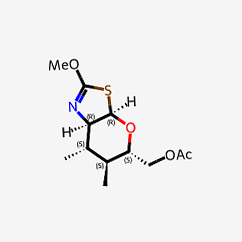 COC1=N[C@@H]2[C@@H](C)[C@H](C)[C@@H](COC(C)=O)O[C@@H]2S1